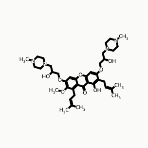 COc1c(OCC(O)CN2CCN(C)CC2)cc2oc3cc(OCC(O)CN4CCN(C)CC4)c(CC=C(C)C)c(O)c3c(=O)c2c1CC=C(C)C